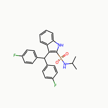 CC(C)NS(=O)(=O)c1[nH]c2ccccc2c1C(c1ccc(F)cc1)c1ccc(F)cc1